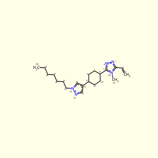 C=Cc1nnc(C2CCC(c3cnn(CCCCCCC)c3)CC2)n1C